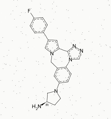 N[C@@H]1CCN(c2ccc3c(c2)Cn2cc(-c4ccc(F)cc4)cc2-c2nncn2-3)C1